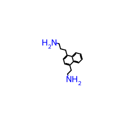 NCCCc1ccc(CCN)c2ccccc12